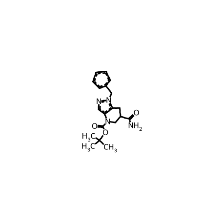 CC(C)(C)OC(=O)N1CC(C(N)=O)Cc2c1cnn2Cc1ccccc1